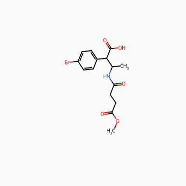 COC(=O)CCC(=O)NC(C)C(C(=O)O)c1ccc(Br)cc1